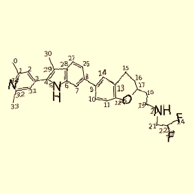 Cc1cc(-c2[nH]c3cc(-c4ccc5c(c4)CCC(CCNCC(F)F)O5)ccc3c2C)cc(C)n1